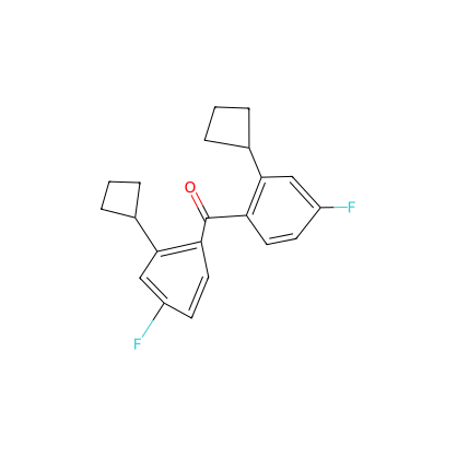 O=C(c1ccc(F)cc1C1CCC1)c1ccc(F)cc1C1CCC1